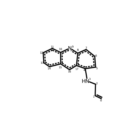 C=CCNc1cccc2nc3ccccc3cc12